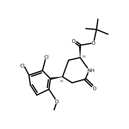 COc1ccc(Cl)c(Cl)c1[C@@H]1CC(=O)N[C@H](C(=O)OC(C)(C)C)C1